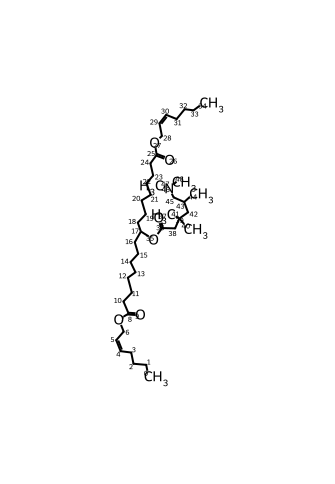 CCCC/C=C\COC(=O)CCCCCCCC(CCCCCCCC(=O)OC/C=C\CCCC)OC(=O)CC(C)(C)CC(C)CN(C)C